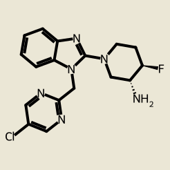 N[C@@H]1CN(c2nc3ccccc3n2Cc2ncc(Cl)cn2)CC[C@H]1F